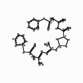 N=C(NC(=O)Cc1ccccn1)SC(=N)C1CCC(C/C(N)=C/C=C(\N)NC(=O)Cc2ccccc2)C1